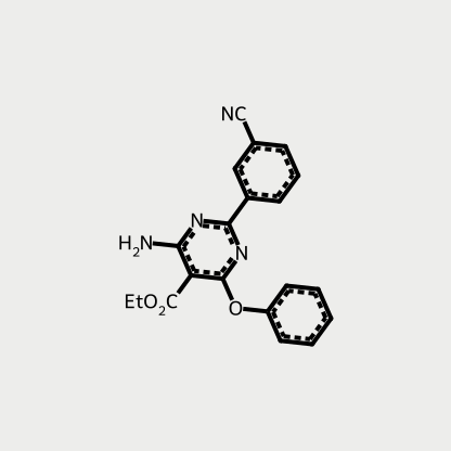 CCOC(=O)c1c(N)nc(-c2cccc(C#N)c2)nc1Oc1ccccc1